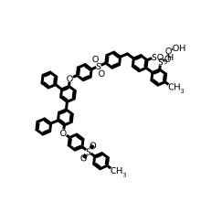 Cc1ccc(S(=O)(=O)c2ccc(Oc3ccc(-c4ccc(Oc5ccc(S(=O)(=O)c6ccc(Cc7ccc(-c8ccc(C)cc8SOOO)c(S(=O)(=O)O)c7)cc6)cc5)c(-c5ccccc5)c4)cc3-c3ccccc3)cc2)cc1